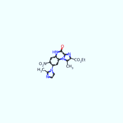 CCOC(=O)c1nc2c(=O)[nH]c3cc([N+](=O)[O-])c(-n4ccnc4C)cc3n2c1C